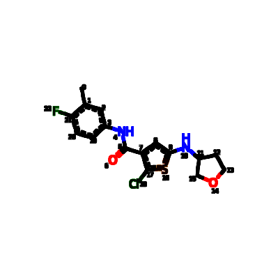 Cc1cc(NC(=O)c2cc(NC3CCOC3)sc2Cl)ccc1F